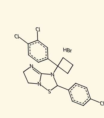 Br.Clc1ccc(C2SN3CCN=C3N2C2(c3ccc(Cl)c(Cl)c3)CCC2)cc1